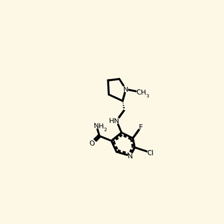 CN1CCC[C@H]1CNc1c(C(N)=O)cnc(Cl)c1F